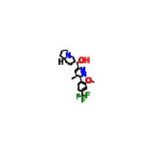 COc1cc(C(F)(F)F)ccc1-c1nnc(C(O)[C@@H]2CC[C@H]3CCCN3C2)cc1C